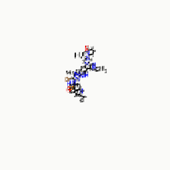 COc1cc(N2CCN(c3cccc(=O)n3C)CC2)c(-c2cnn(C)c2)cc1Nc1ncc(Br)c(Nc2ccc3nc(C4CC4)ccc3c2P(C)(C)=O)n1